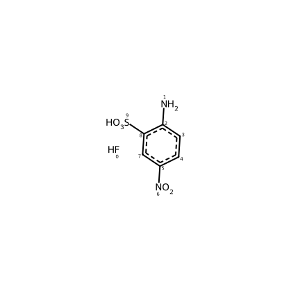 F.Nc1ccc([N+](=O)[O-])cc1S(=O)(=O)O